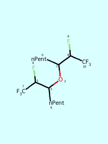 CCCCCC(OC(CCCCC)C(F)C(F)(F)F)C(F)C(F)(F)F